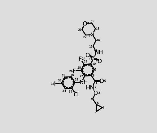 O=C(NOCC1CC1)c1cc(S(=O)(=O)NCCN2CCOCC2)c(F)c(F)c1Nc1ccc(I)cc1Cl